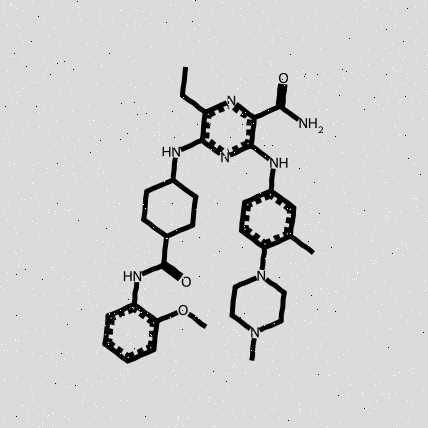 CCc1nc(C(N)=O)c(Nc2ccc(N3CCN(C)CC3)c(C)c2)nc1NC1CCC(C(=O)Nc2ccccc2OC)CC1